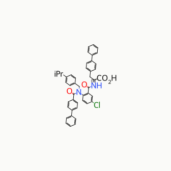 CC(C)c1ccc(CN(C(=O)c2ccc(-c3ccccc3)cc2)c2ccc(Cl)cc2C(=O)N[C@@H](Cc2ccc(-c3ccccc3)cc2)C(=O)O)cc1